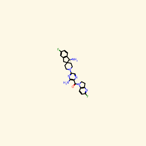 Nc1nc(N2CCC3(CC2)Cc2cc(F)ccc2[C@H]3N)cnc1C(=O)N1CCc2nc(F)ccc21